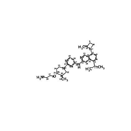 CC(C)c1ccc(N2CC[C@H]2C)c2cnc(Nc3ccnc(N4CC[C@@H](OCCN)[C@H](C)C4)n3)cc12